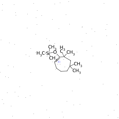 CC1(C)CCC/C=C(/O[Si](C)(C)C)C(C)(C)C1